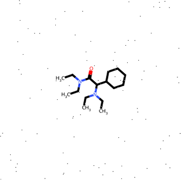 CCN(CC)C(=O)C(C1CCCCC1)N(CC)CC